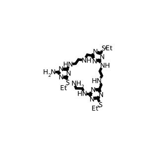 CCSc1nc(N)nc(NCCNCc2nc(NCCNCc3nc(NCCN)nc(SCC)n3)nc(SCC)n2)n1